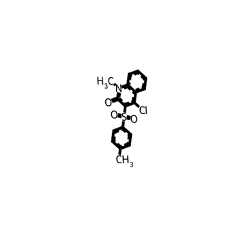 Cc1ccc(S(=O)(=O)c2c(Cl)c3ccccc3n(C)c2=O)cc1